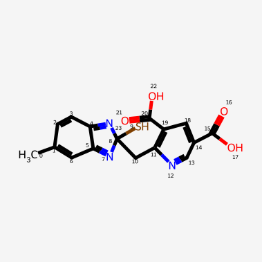 Cc1ccc2c(c1)=NC(S)(Cc1ncc(C(=O)O)cc1C(=O)O)N=2